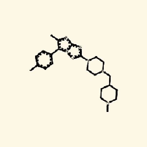 Cc1ccc(-c2c(C)nc3sc(N4CCN(CC5CCN(C)CC5)CC4)nn23)cc1